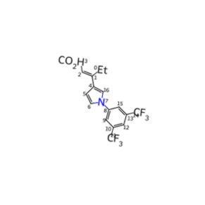 CC/C(=C\C(=O)O)c1ccn(-c2cc(C(F)(F)F)cc(C(F)(F)F)c2)c1